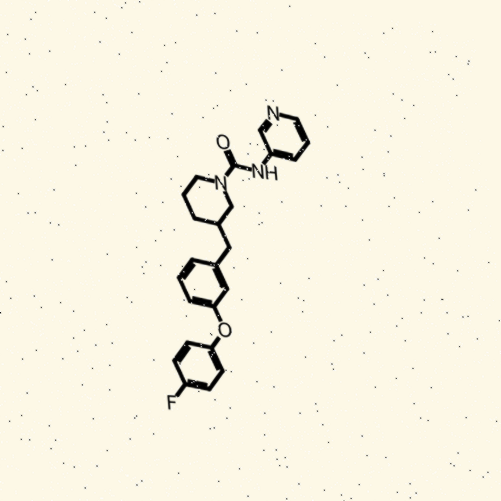 O=C(Nc1cccnc1)N1CCCC(Cc2cccc(Oc3ccc(F)cc3)c2)C1